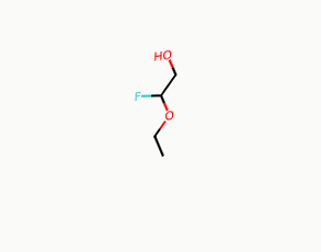 CCOC(F)CO